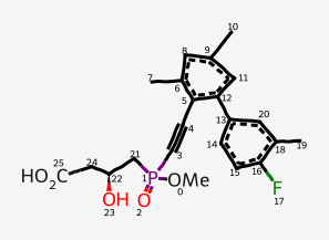 COP(=O)(C#Cc1c(C)cc(C)cc1-c1ccc(F)c(C)c1)C[C@@H](O)CC(=O)O